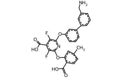 Cc1ccc(C(=O)O)c(Oc2nc(Oc3cccc(-c4cccc(CN)c4)c3)c(F)c(C(=O)O)c2F)c1